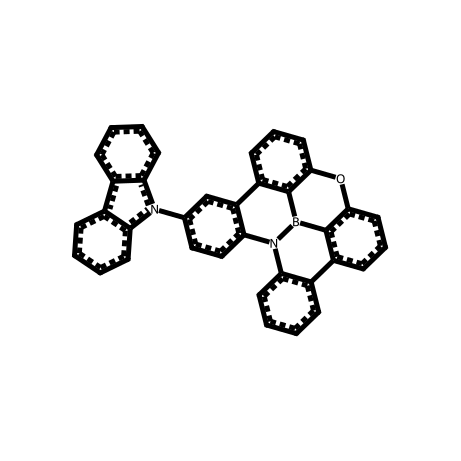 c1ccc2c(c1)-c1cccc3c1B1c4c(cccc4-c4cc(-n5c6ccccc6c6ccccc65)ccc4N12)O3